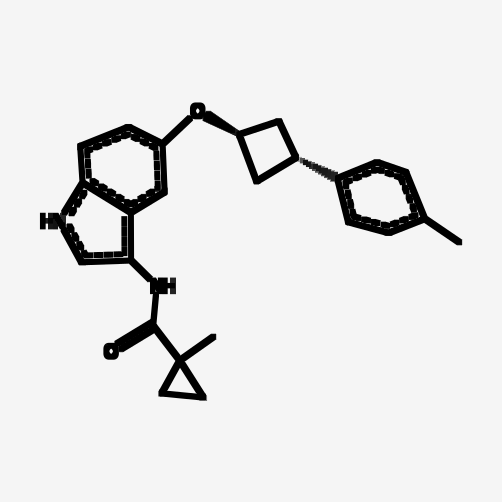 Cc1ccc([C@H]2C[C@H](Oc3ccc4[nH]cc(NC(=O)C5(C)CC5)c4c3)C2)cc1